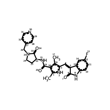 Cc1[nH]c(/C=C2\C(=O)Nc3ccc(F)cc32)c(C)c1C(=O)N[C@H]1CCN(Cc2ccncc2)C1=O